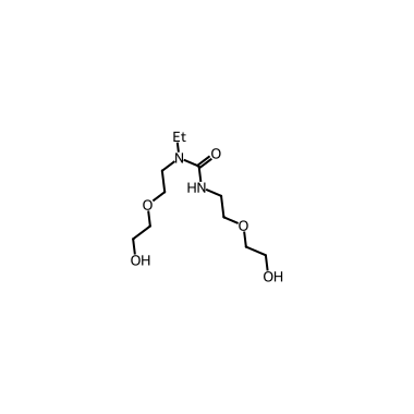 [CH2]CN(CCOCCO)C(=O)NCCOCCO